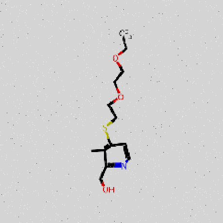 Cc1c(SCCOCCOCC(F)(F)F)ccnc1CO